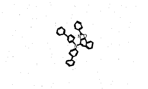 c1ccc(-c2ccc(N(c3ccc(-c4ccccc4)cc3)c3cc4ccccc4c4oc(-c5ccccc5)nc34)cc2)cc1